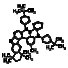 Cc1cc2c3c(c1)N(c1ccc(C(C)(C)C)cc1)c1ccccc1B3N(c1ccc(C(C)(C)C)cc1)c1ccc3oc4cc5c(cc4c3c1-2)C(C)(C)CCC5(C)C